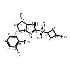 O=S(=O)(C1=NN2C(N1)[C@@H](F)C[C@H]2c1cccc(F)c1F)C1CC(F)C1